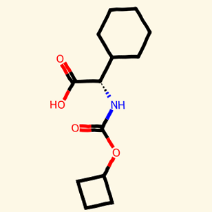 O=C(N[C@H](C(=O)O)C1CCCCC1)OC1CCC1